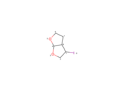 IC1COC2OCCC12